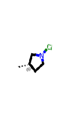 C[C@H]1CCN(Cl)C1